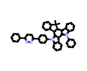 CC1(C)c2ccccc2-c2c1c1c3ccccc3n(-c3ccccc3)c1c1c3ccccc3n(-c3ccc(-c4ccc(-c5ccccc5)nn4)cc3)c21